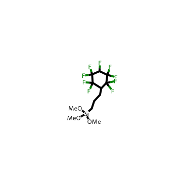 CO[Si](CCCC1C(F)(F)C(F)(F)C(F)C(F)(F)C1(F)F)(OC)OC